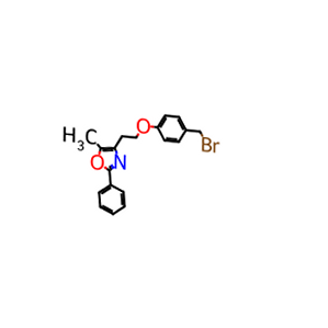 Cc1oc(-c2ccccc2)nc1CCOc1ccc(CBr)cc1